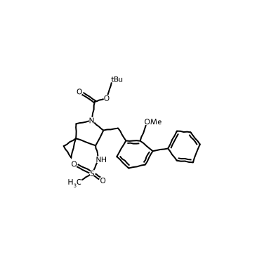 COc1c(CC2C(NS(C)(=O)=O)C3(CC3)CN2C(=O)OC(C)(C)C)cccc1-c1ccccc1